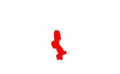 c1ccc(-c2ccc(N(c3ccc4c(c3)c3cccc5c3n4-c3ccccc3C53c4ccccc4-c4ccccc43)c3cccc4c3-c3ccccc3C4(c3ccccc3)c3cccc(-c4ccc(-c5ccc(N(c6ccc7c(c6)c6cccc8c6n7-c6ccccc6C86c7ccccc7-c7ccccc76)c6cccc7c6-c6ccccc6C76c7ccccc7-c7ccccc76)cc5)cc4)c3)cc2)cc1